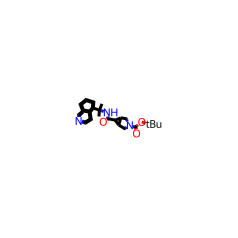 CC(C)(C)OC(=O)N1CC2C(C1)C2C(=O)NC(C)(C)c1cccc2cnccc12